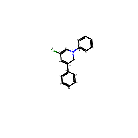 ClC1=CN(c2ccccc2)CC(c2ccccc2)=C1